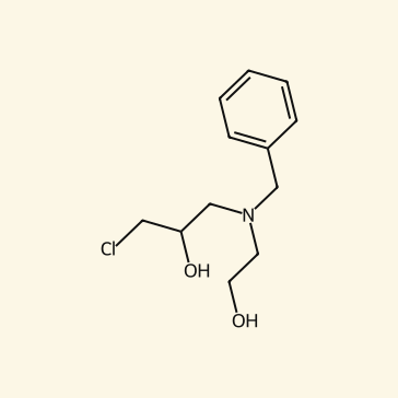 OCCN(Cc1ccccc1)CC(O)CCl